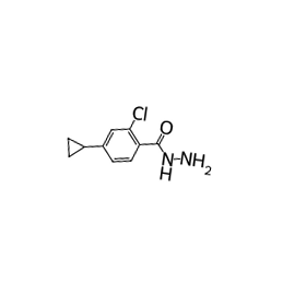 NNC(=O)c1ccc(C2CC2)cc1Cl